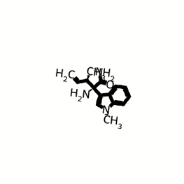 C=C[C@@H](C)[C@@](N)(C(N)=O)c1cn(C)c2ccccc12